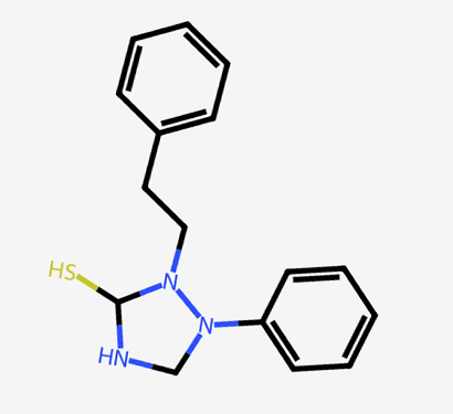 SC1NCN(c2ccccc2)N1CCc1ccccc1